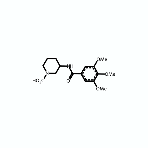 COc1cc(C(=O)NC2CCCN(C(=O)O)C2)cc(OC)c1OC